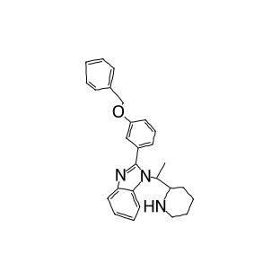 CC(C1CCCCN1)n1c(-c2cccc(OCc3ccccc3)c2)nc2ccccc21